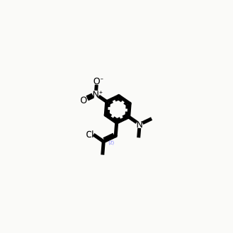 C/C(Cl)=C/c1cc([N+](=O)[O-])ccc1N(C)C